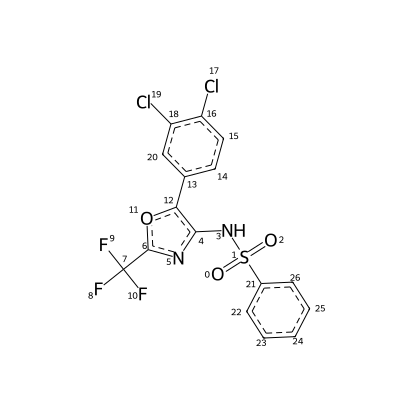 O=S(=O)(Nc1nc(C(F)(F)F)oc1-c1ccc(Cl)c(Cl)c1)c1ccccc1